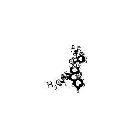 CCn1ncc2c1-c1ccccc1OC21CCN(C(=O)c2cccc(F)c2OC(F)F)CC1